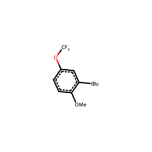 COc1ccc(OC(F)(F)F)cc1C(C)(C)C